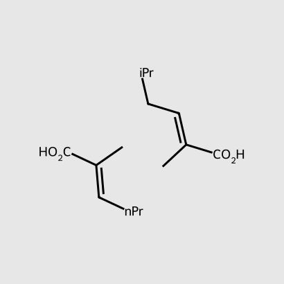 C/C(=C\CC(C)C)C(=O)O.CCC/C=C(\C)C(=O)O